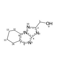 OCc1nc2ncc3c(n2n1)CCCC3